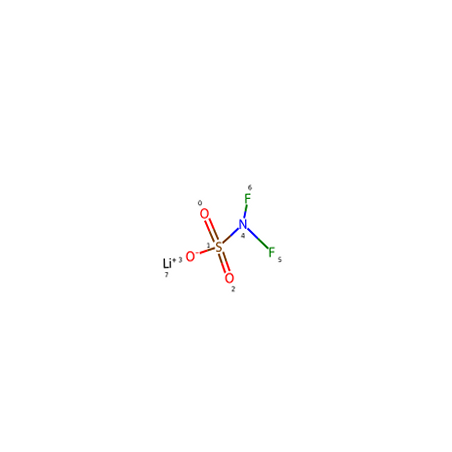 O=S(=O)([O-])N(F)F.[Li+]